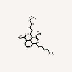 CCCCCCC1C=CCC(C(=O)O)C1C(CCCCCC)C(=O)O